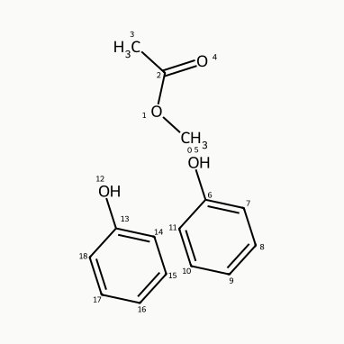 COC(C)=O.Oc1ccccc1.Oc1ccccc1